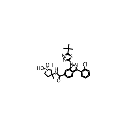 CC1(NC(=O)c2ccc3c(-c4ccccc4Cl)nn(-c4nnc(C(C)(C)C)s4)c3c2)CCS(O)(O)C1